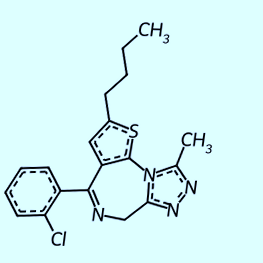 CCCCc1cc2c(s1)-n1c(C)nnc1CN=C2c1ccccc1Cl